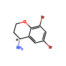 N[C@@H]1CCOc2c(Br)cc(Br)cc21